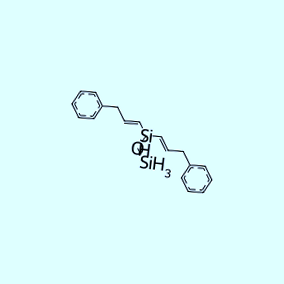 [SiH3]O[SiH](C=CCc1ccccc1)C=CCc1ccccc1